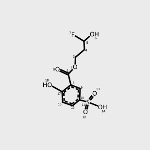 O=C(OCCC(O)F)c1cc(S(=O)(=O)O)ccc1O